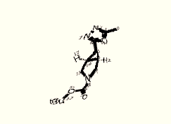 Cc1nnc(C2[C@H]3CN(C(=O)OC(C)(C)C)C[C@@H]23)o1